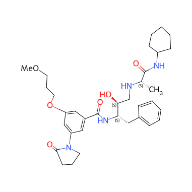 COCCCOc1cc(C(=O)N[C@@H](Cc2ccccc2)[C@@H](O)CN[C@@H](C)C(=O)NC2CCCCC2)cc(N2CCCC2=O)c1